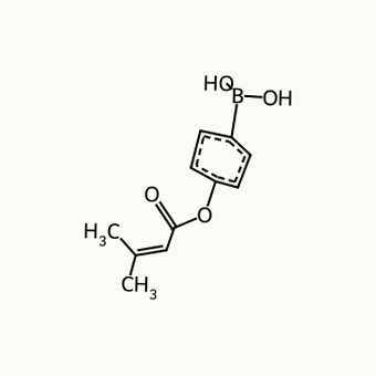 CC(C)=CC(=O)Oc1ccc(B(O)O)cc1